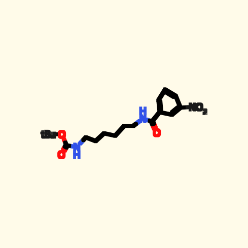 CC(C)(C)OC(=O)NCCCCCCNC(=O)c1cccc([N+](=O)[O-])c1